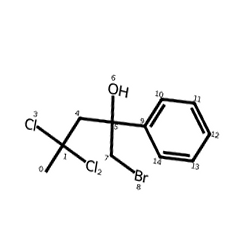 CC(Cl)(Cl)CC(O)(CBr)c1ccccc1